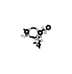 CCn1nc(C)cc1C(=O)Nc1nc2cc(C(=O)NC3CCCCC3)cc3c2n1C/C=C/CNc1c(N)cc(C)cc1OCCCO3